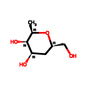 C[C@H]1O[C@H](CO)C[C@H](O)[C@@H]1O